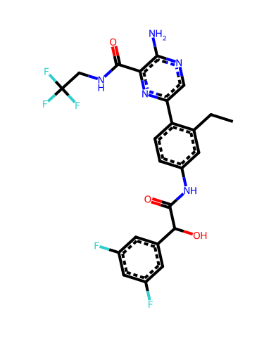 CCc1cc(NC(=O)C(O)c2cc(F)cc(F)c2)ccc1-c1cnc(N)c(C(=O)NCC(F)(F)F)n1